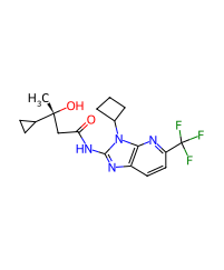 C[C@@](O)(CC(=O)Nc1nc2ccc(C(F)(F)F)nc2n1C1CCC1)C1CC1